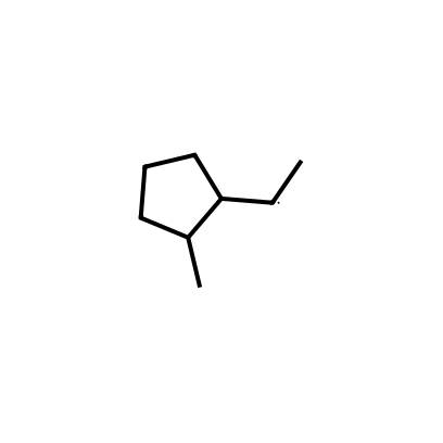 C[CH]C1CCCC1C